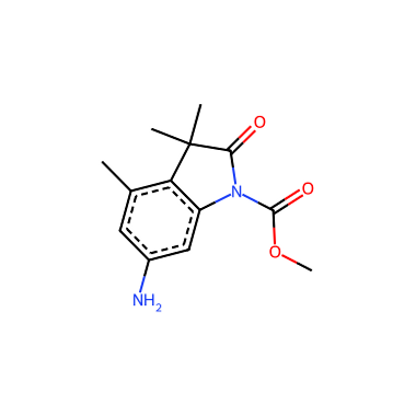 COC(=O)N1C(=O)C(C)(C)c2c(C)cc(N)cc21